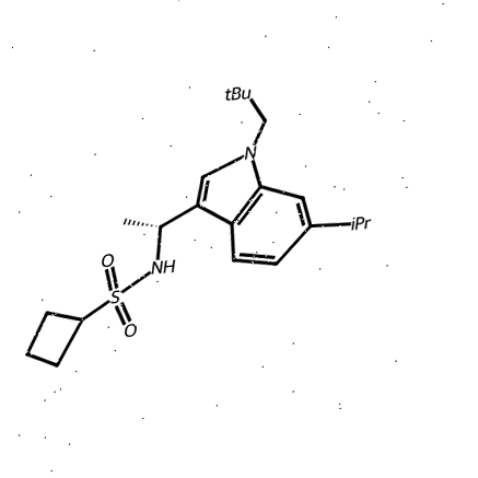 CC(C)c1ccc2c([C@@H](C)NS(=O)(=O)C3CCC3)cn(CC(C)(C)C)c2c1